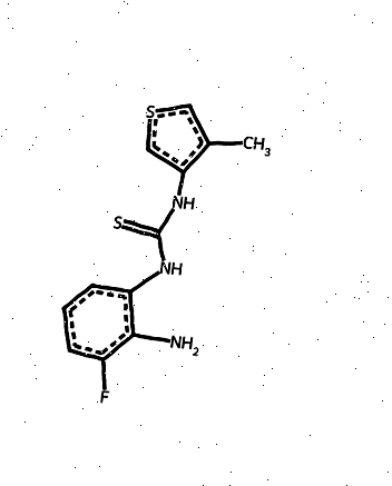 Cc1cscc1NC(=S)Nc1cccc(F)c1N